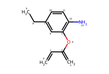 C=CC(=C)Oc1cc(CC)ccc1N